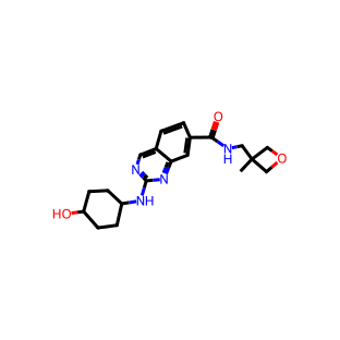 CC1(CNC(=O)c2ccc3cnc(NC4CCC(O)CC4)nc3c2)COC1